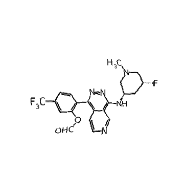 CN1C[C@H](F)C[C@@H](Nc2nnc(-c3ccc(C(F)(F)F)cc3OC=O)c3ccncc23)C1